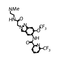 CNCCNC(=O)Cn1cc2cc(NC(=O)c3cccc(C(F)(F)F)n3)c(OC(F)(F)F)cc2n1